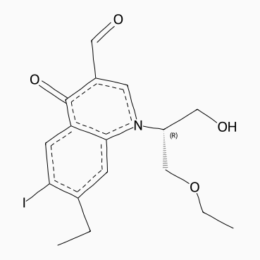 CCOC[C@@H](CO)n1cc(C=O)c(=O)c2cc(I)c(CC)cc21